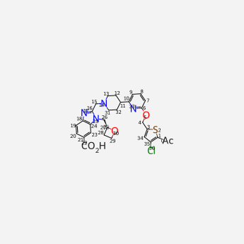 CC(=O)c1sc(COc2cccc(C3CCN(Cc4nc5ccc(C(=O)O)cc5n4C[C@@H]4CCO4)CC3)n2)cc1Cl